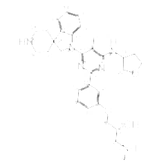 CNCC(O)COc1cccc(-c2nc(NC3CCOC3)c(C)c(N3CC4(CCNCC4)c4ccccc43)n2)c1